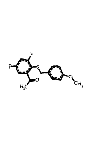 COc1ccc(CSc2c(F)cc(F)cc2C(C)=O)cc1